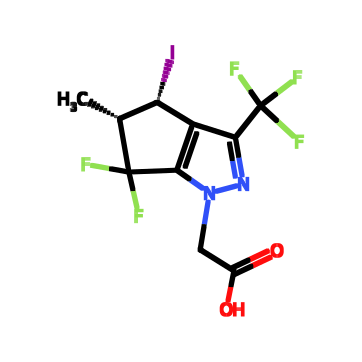 C[C@@H]1[C@H](I)c2c(C(F)(F)F)nn(CC(=O)O)c2C1(F)F